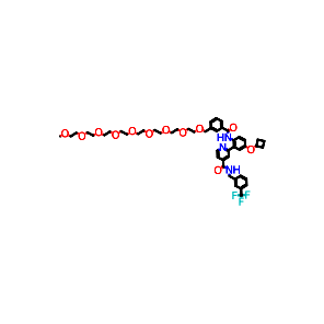 COCCOCCOCCOCCOCCOCCOCCOCCOCc1cccc(C(=O)Nc2ccc(OC3CCC3)cc2-c2cc(C(=O)NCc3cccc(C(F)(F)F)c3)ccn2)c1